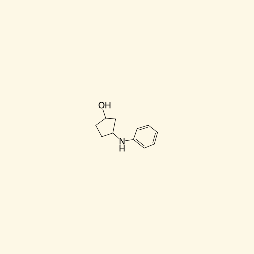 OC1CCC(Nc2ccccc2)C1